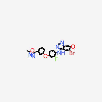 COc1cc2ncnc(Nc3ccc(Oc4cccc(-c5nnc(C)o5)c4)cc3F)c2cc1Br